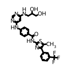 Cc1sc(NC(=O)c2ccc(Nc3cc(NCC(O)CO)ncn3)cc2)nc1-c1cccc(C(F)(F)F)c1